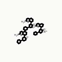 Cc1ccc2cccc(-c3cc(-c4ccccc4)ccc3[O-])c2n1.Cc1ccc2cccc(-c3cc(-c4ccccc4)ccc3[O-])c2n1.Cc1ccc2cccc(-c3cc(-c4ccccc4)ccc3[O-])c2n1.[Al+3]